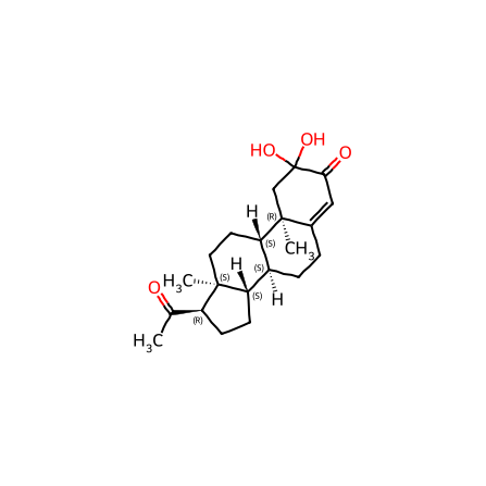 CC(=O)[C@@H]1CC[C@H]2[C@@H]3CCC4=CC(=O)C(O)(O)C[C@]4(C)[C@H]3CC[C@]12C